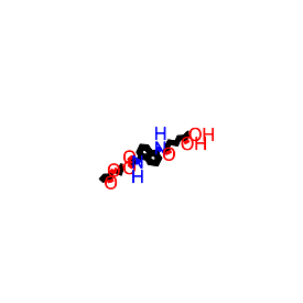 C=CC(=O)OCCOC(=O)Nc1cccc2c(NC(=O)CCCC(O)CO)cccc12